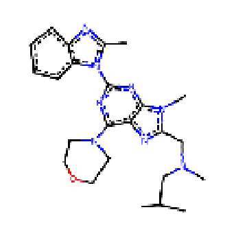 Cc1nc2ccccc2n1-c1nc(N2CCOCC2)c2nc(CN(C)CC(C)C)n(C)c2n1